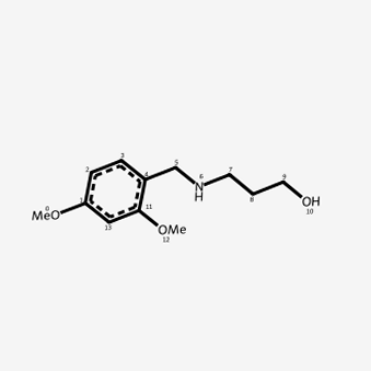 COc1ccc(CNCCCO)c(OC)c1